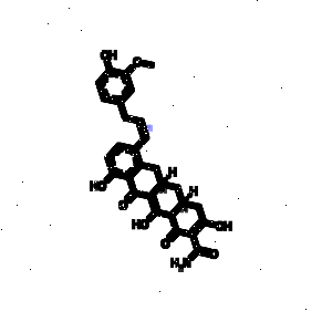 COc1cc(C/C=C\c2ccc(O)c3c2C[C@H]2C[C@H]4CC(O)=C(C(N)=O)C(=O)C4C(O)=C2C3=O)ccc1O